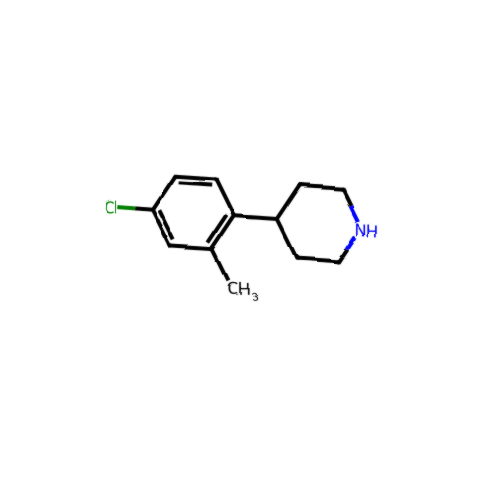 Cc1cc(Cl)ccc1C1CCNCC1